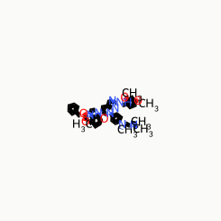 COc1ccc(CNc2ncc3cc(N4CCN(C(=O)OCc5ccccc5)c5c(C)cccc54)c(=O)n(-c4ccc(N(C)CCN(C)C)cc4)c3n2)c(OC)c1